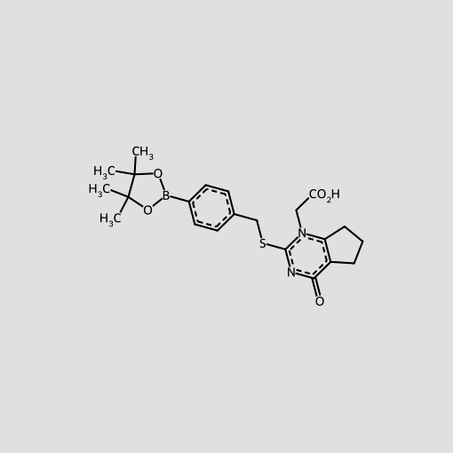 CC1(C)OB(c2ccc(CSc3nc(=O)c4c(n3CC(=O)O)CCC4)cc2)OC1(C)C